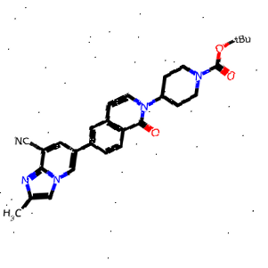 Cc1cn2cc(-c3ccc4c(=O)n(C5CCN(C(=O)OC(C)(C)C)CC5)ccc4c3)cc(C#N)c2n1